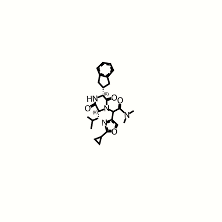 CC(C)C[C@@H]1C(=O)N[C@H](C2Cc3ccccc3C2)C(=O)N1C(C(=O)N(C)C)c1coc(C2CC2)n1